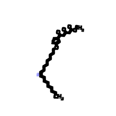 CCCCCCCC/C=C\CCCCCCCCOc1cc(C(=O)CC(=O)CC(=O)OC)cs1